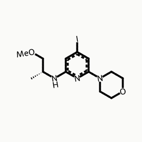 COC[C@@H](C)Nc1cc(I)cc(N2CCOCC2)n1